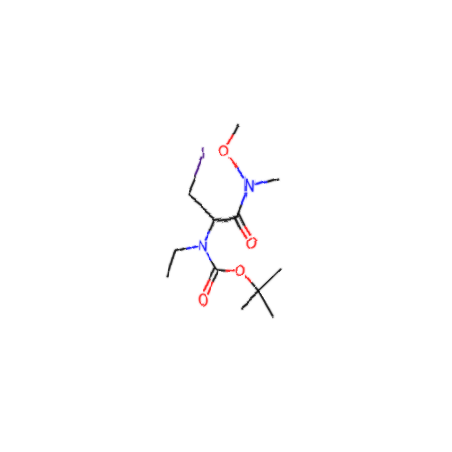 CCN(C(=O)OC(C)(C)C)C(CI)C(=O)N(C)OC